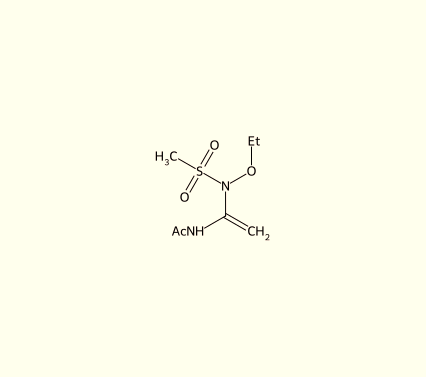 C=C(NC(C)=O)N(OCC)S(C)(=O)=O